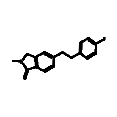 C=C1c2ccc(CCc3ccc(F)cc3)cc2CN1C